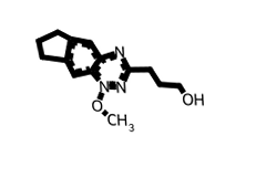 CO[n+]1nc(CCCO)nc2cc3c(cc21)CCC3